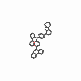 C1=Cc2c(sc3c(-c4ccc(N(c5ccc(-c6cc7ccccc7c7ccccc67)cc5)c5ccccc5-c5ccccc5)cc4)cccc23)CC1